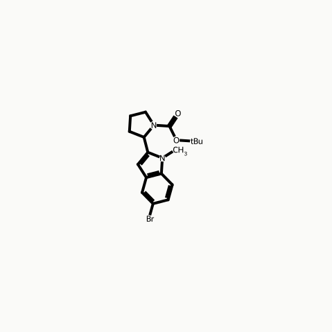 Cn1c(C2CCCN2C(=O)OC(C)(C)C)cc2cc(Br)ccc21